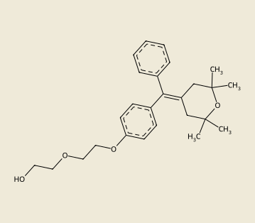 CC1(C)CC(=C(c2ccccc2)c2ccc(OCCOCCO)cc2)CC(C)(C)O1